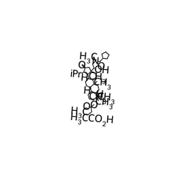 CC(C)C1=C2[C@H]3CC[C@@H]4[C@@]5(C)CC[C@H](OC(=O)CC(C)(C)C(=O)O)C(C)(C)[C@@H]5CC[C@@]4(C)[C@]3(C)CCC2(C(O)CN(C)C(=O)C2CCCC2)CC1=O